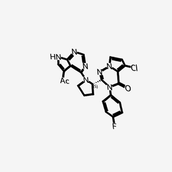 CC(=O)c1c[nH]c2ncnc(N3CCC[C@H]3c3nn4ccc(Cl)c4c(=O)n3-c3ccc(F)cc3)c12